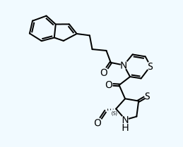 O=C[C@H]1NCC(=S)C1C(=O)C1=CSC=CN1C(=O)CCCC1=Cc2ccccc2C1